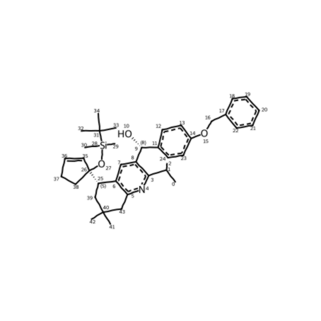 CC(C)c1nc2c(cc1[C@H](O)c1ccc(OCc3ccccc3)cc1)[C@@H](C1(O[Si](C)(C)C(C)(C)C)C=CCC1)CC(C)(C)C2